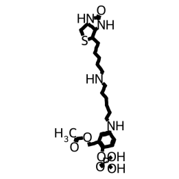 CC(=O)OCc1cc(NCCCCCCNCCCCCC2SCC3NC(=O)NC32)ccc1OP(=O)(O)O